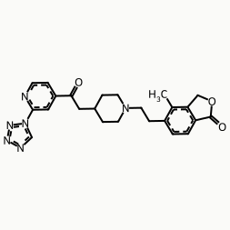 Cc1c(CCN2CCC(CC(=O)c3ccnc(-n4cnnn4)c3)CC2)ccc2c1COC2=O